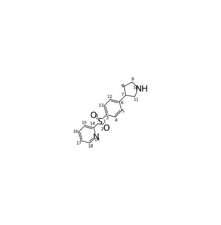 O=S(=O)(c1ccc(C2CCNC2)cc1)c1ccccn1